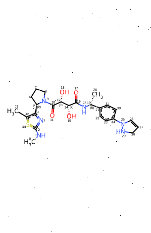 CNc1nc([C@H]2CCCN2C(=O)[C@H](O)[C@@H](O)C(=O)N[C@H](C)c2ccc(N3C=CCN3)cc2)c(C)s1